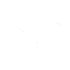 O=S1(=O)c2ccccc2C2(c3cc4c5c(c3Oc3c2cc2c6c3CCCN6CCC2)CCCN5CCC4)N1CCOCCO